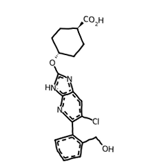 O=C(O)[C@H]1CC[C@H](Oc2nc3cc(Cl)c(-c4ccccc4CO)nc3[nH]2)CC1